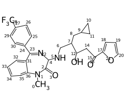 CN1C(=O)C(NCC(CC2CC2)C(O)CC(=O)c2ccco2)N=C(c2ccc(C(F)(F)F)cc2)c2ccccc21